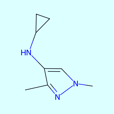 Cc1nn(C)cc1NC1CC1